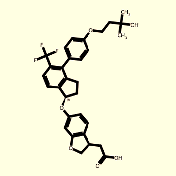 CC(C)(O)CCOc1ccc(-c2c(C(F)(F)F)ccc3c2CC[C@H]3Oc2ccc3c(c2)OCC3CC(=O)O)cc1